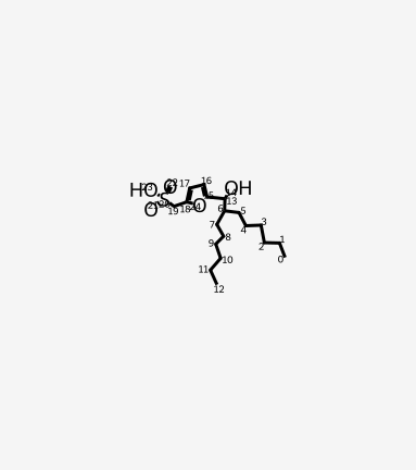 CCCCCCC(CCCCCC)C(O)c1ccc(CS(=O)(=O)O)o1